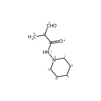 CC(C=O)C(=O)NN1CCCCC1